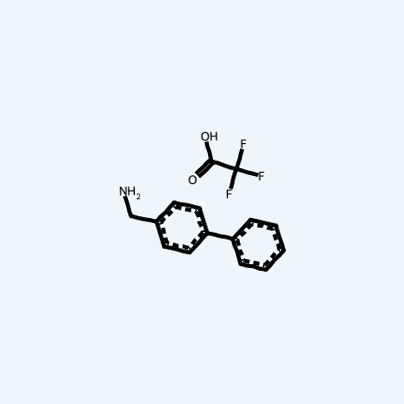 NCc1ccc(-c2ccccc2)cc1.O=C(O)C(F)(F)F